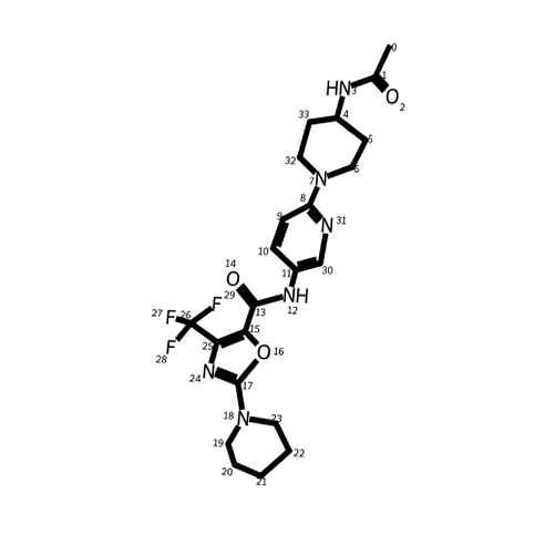 CC(=O)NC1CCN(c2ccc(NC(=O)c3oc(N4CCCCC4)nc3C(F)(F)F)cn2)CC1